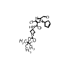 CC(C)(C)OC(=O)N1CC(NC(=O)c2c(Cl)nc(C=O)n2C2CC=CC2)C1